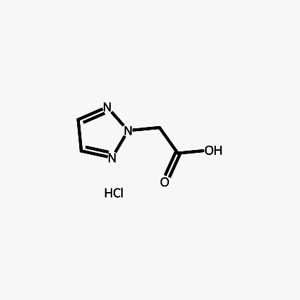 Cl.O=C(O)Cn1nccn1